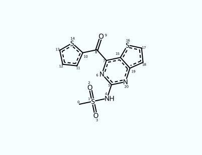 CS(=O)(=O)Nc1nc(C(=O)c2cccs2)c2sccc2n1